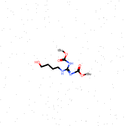 CC(C)(C)OC(=O)/N=C(/NCCCCO)NC(=O)OC(C)(C)C